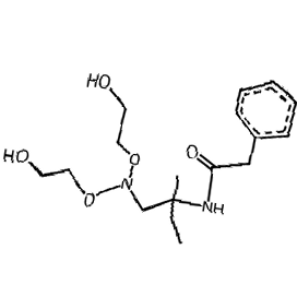 CC(C)(CN(OCCO)OCCO)NC(=O)Cc1ccccc1